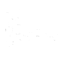 CCCCc1nc(Cl)c(C=O)n1Cc1ccc(-c2ccccc2-c2nnn(C(=O)Oc3ccc(CON(O)O)cc3)n2)cc1